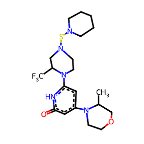 CC1COCCN1c1cc(N2CCN(SN3CCCCC3)CC2C(F)(F)F)[nH]c(=O)c1